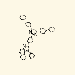 c1ccc(-c2ccc(-c3cc(-c4ccc(-c5ccccc5)cc4)nc(-c4ccc(-c5cc(-c6ccccc6)c6c(ccc7ccccc76)n5)cc4)n3)cc2)cc1